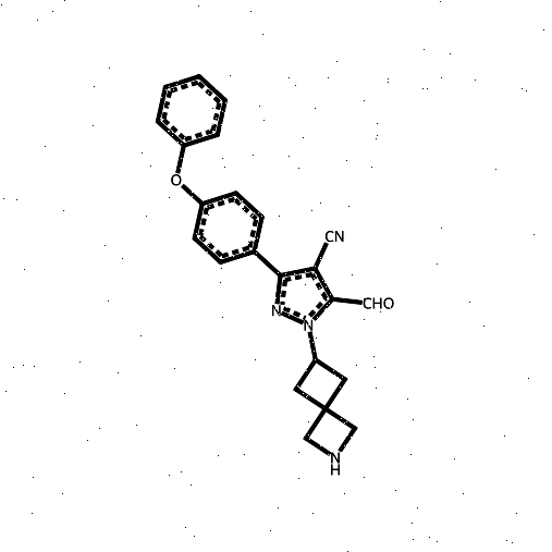 N#Cc1c(-c2ccc(Oc3ccccc3)cc2)nn(C2CC3(CNC3)C2)c1C=O